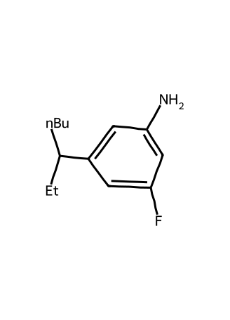 CCCCC(CC)c1cc(N)cc(F)c1